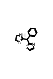 c1ccc(C(C2=NCCN2)c2nccs2)cc1